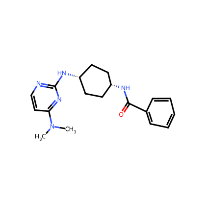 CN(C)c1ccnc(N[C@H]2CC[C@@H](NC(=O)c3ccccc3)CC2)n1